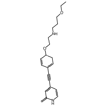 C=C1C=C(C#CC2=CCC(OCCNCCCOCC)C=C2)C=CN1